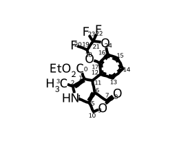 CCOC(=O)C1=C(C)NC2=C(C(=O)OC2)C1c1cccc2c1OC(F)C(F)(F)O2